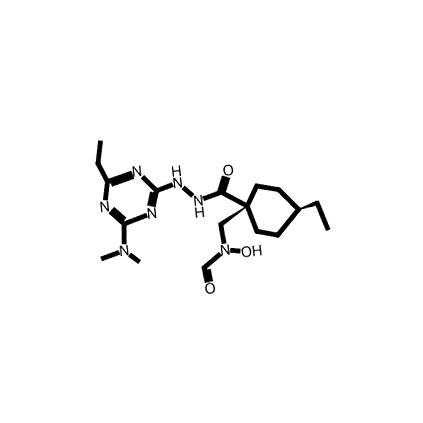 CCc1nc(NNC(=O)[C@]2(CN(O)C=O)CC[C@@H](CC)CC2)nc(N(C)C)n1